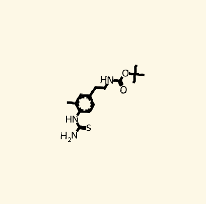 Cc1cc(CCNC(=O)OC(C)(C)C)ccc1NC(N)=S